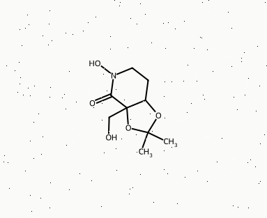 CC1(C)OC2CCN(O)C(=O)C2(CO)O1